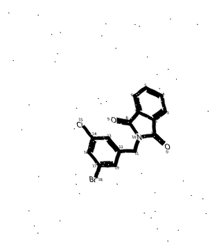 O=C1c2ccccc2C(=O)N1Cc1cc(Cl)cc(Br)c1